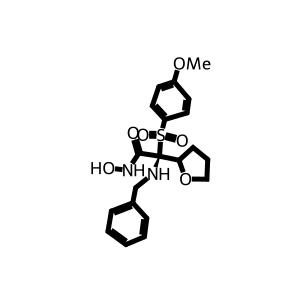 COc1ccc(S(=O)(=O)[C@@](NCc2ccccc2)(C(=O)NO)C2CCCO2)cc1